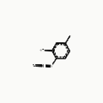 Cc1ccc(N=[N+]=[N-])c(O)c1